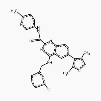 Cc1ccc(NC(=O)c2nc(NCc3cccc(Cl)c3)c3cc(-c4c(C)noc4C)ccc3n2)cn1